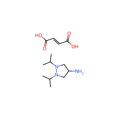 CC(C)N1CC(N)CN1C(C)C.O=C(O)/C=C/C(=O)O